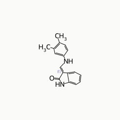 Cc1ccc(N/C=C2/C(=O)Nc3ccccc32)cc1C